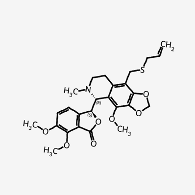 C=CCSCc1c2c(c(OC)c3c1OCO3)[C@H]([C@H]1OC(=O)c3c1ccc(OC)c3OC)N(C)CC2